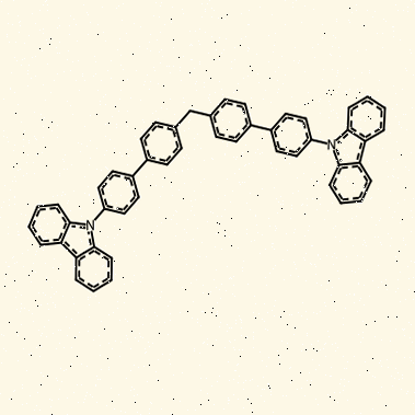 c1ccc2c(c1)c1ccccc1n2-c1ccc(-c2ccc(Cc3ccc(-c4ccc(-n5c6ccccc6c6ccccc65)cc4)cc3)cc2)cc1